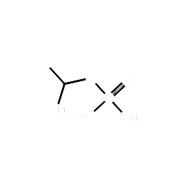 CCC(OP(=O)(O)O)C(C)C